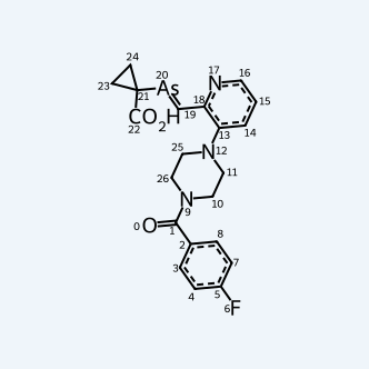 O=C(c1ccc(F)cc1)N1CCN(c2cccnc2C=[As]C2(C(=O)O)CC2)CC1